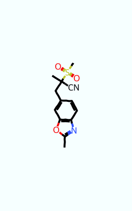 Cc1nc2ccc(CC(C)(C#N)S(C)(=O)=O)cc2o1